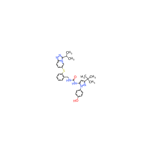 CC(C)c1nnc2ccc(Sc3ccccc3CNC(=O)Nc3cc(C(C)(C)C)nn3-c3ccc(O)cc3)cn12